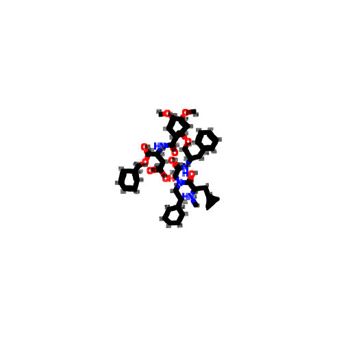 CNC(CC1CC1)C(=O)N(CCC1CCCCC1)CC(=O)NC(COc1cc(OC)c(OC)cc1C(=O)NC(CC(=O)O)C(=O)OCc1ccccc1)Cc1ccccc1